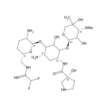 CN[C@@H]1C(O)[C@@H](OC2C(O)C(O[C@H]3O[C@H](CNC(=N)C(F)F)CCC3N)[C@@H](N)C[C@H]2NC(=O)[C@@]2(O)CCNC2)OCC1(C)O